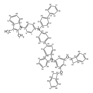 Cc1c(C)n(-c2ccc(N(c3ccc(-c4ccccc4)cc3)c3ccc(-c4ccc5c(c4)c4ccccc4n5-c4cc(OC5Cc6ccccc65)cc(OC5Cc6ccccc65)c4)cc3)cc2)c2ccccc12